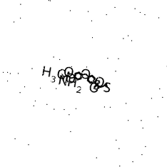 CC(N)C(=O)Oc1ccc(Oc2ccc(S(=O)(=O)CC3CS3)cc2)cc1